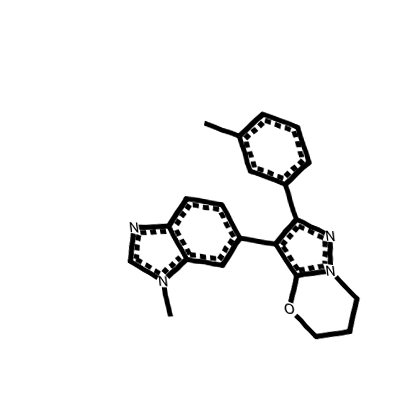 Cc1cccc(-c2nn3c(c2-c2ccc4ncn(C)c4c2)OCCC3)c1